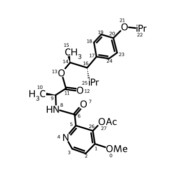 COc1ccnc(C(=O)N[C@@H](C)C(=O)O[C@@H](C)[C@H](c2ccc(OC(C)C)cc2)C(C)C)c1OC(C)=O